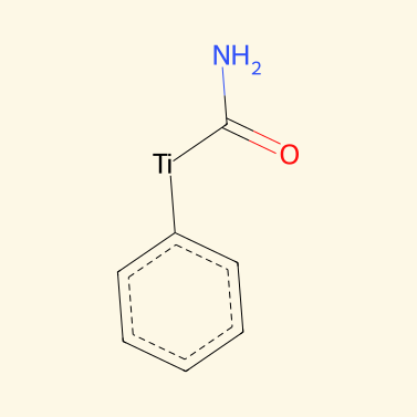 N[C](=O)[Ti][c]1ccccc1